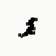 Cc1ccc(-c2c[nH]cc(C(=O)Nc3ccc4c(c3)NC(=O)/C4=C\c3ccc[nH]3)c2=O)cc1